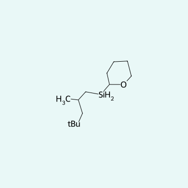 CC(C[SiH2]C1CCCCO1)CC(C)(C)C